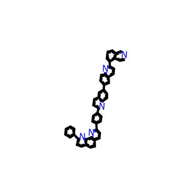 c1ccc(-c2ccc3ccc4ccc(-c5ccc(-c6ccc7cc(-c8ccc9nc(-c%10cccc%11cnccc%10%11)ccc9c8)ccc7n6)cc5)nc4c3n2)cc1